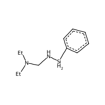 CCN(CC)CN[SiH2]c1ccccc1